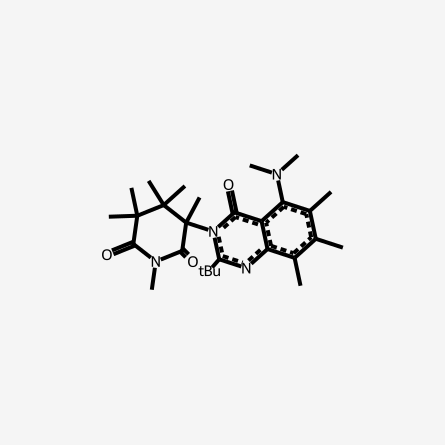 Cc1c(C)c(N(C)C)c2c(=O)n(C3(C)C(=O)N(C)C(=O)C(C)(C)C3(C)C)c(C(C)(C)C)nc2c1C